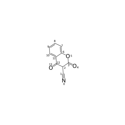 N#CC1C(=O)Oc2ccccc2C1=O